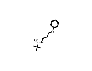 CC(C)(C)[S@@+]([O-])/N=C/CCOc1ccccc1